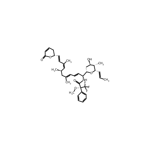 C/C=C/[C@@H]1O[C@H]([C@H](/C=C/C=C(\C)C[C@@H](C)/C=C(C)\C=C\[C@H]2CC=CC(=O)O2)NC(=O)[C@](OC)(c2ccccc2)C(F)(F)F)C[C@@H](O)[C@@H]1C